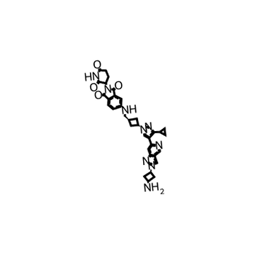 N[C@H]1C[C@@H](n2cc3cnc(-c4cn([C@H]5C[C@H](CNc6ccc7c(c6)C(=O)N(C6CCC(=O)NC6=O)C7=O)C5)nc4C4CC4)cc3n2)C1